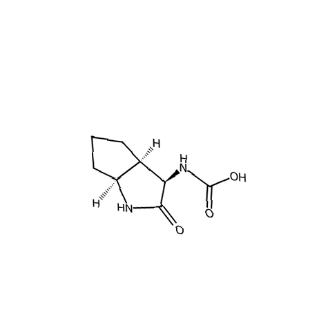 O=C(O)N[C@H]1C(=O)N[C@H]2CCC[C@H]21